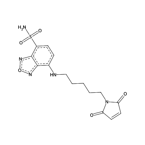 NS(=O)(=O)c1ccc(NCCCCCN2C(=O)C=CC2=O)c2nonc12